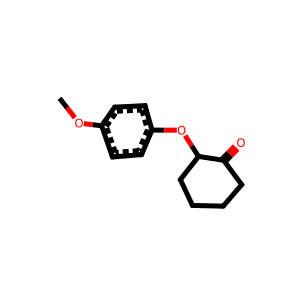 COc1ccc(OC2CCCCC2=O)cc1